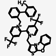 Cc1ccccc1-c1ccccc1C[n+]1ccc(C(F)(F)F)cc1-c1cc(C(F)(F)F)cc[n+]1Cc1csc2oc3ccccc3[n+]12